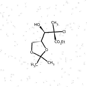 CCOC(=O)[C@@](C)(Cl)[C@H](O)[C@H]1COC(C)(C)O1